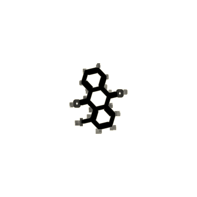 O=C1c2ccccc2C(=O)c2c(I)cccc21